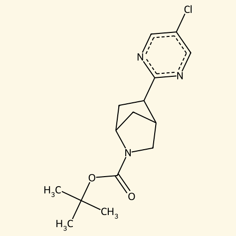 CC(C)(C)OC(=O)N1CC2CC1CC2c1ncc(Cl)cn1